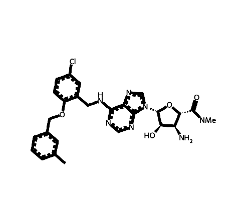 CNC(=O)[C@H]1O[C@@H](n2cnc3c(NCc4cc(Cl)ccc4OCc4cccc(C)c4)ncnc32)[C@H](O)[C@@H]1N